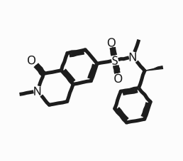 C[C@@H](c1ccccc1)N(C)S(=O)(=O)c1ccc2c(c1)CCN(C)C2=O